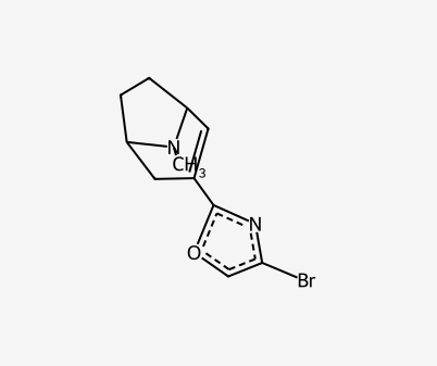 CN1C2C=C(c3nc(Br)co3)CC1CC2